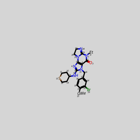 CCN1C(=O)c2c(nc(NC3CCSCC3)n2Cc2ccc(OC)c(Br)c2)N2CCN=C12